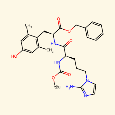 Cc1cc(O)cc(C)c1C[C@H](NC(=O)[C@@H](CCCn1ccnc1N)NC(=O)OC(C)(C)C)C(=O)OCc1ccccc1